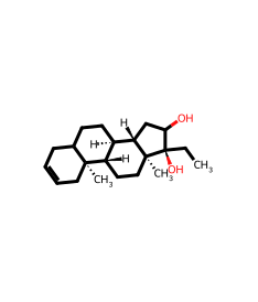 CC[C@@]1(O)C(O)C[C@H]2[C@@H]3CCC4CC=CC[C@]4(C)[C@H]3CC[C@@]21C